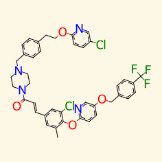 Cc1cc(C=CC(=O)N2CCN(Cc3ccc(CCOc4ccc(Cl)cn4)cc3)CC2)cc(Cl)c1Oc1ccc(OCc2ccc(C(F)(F)F)cc2)cn1